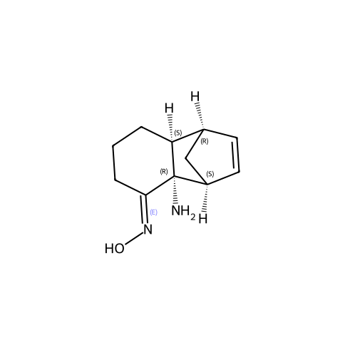 N[C@]12/C(=N/O)CCC[C@H]1[C@H]1C=C[C@@H]2C1